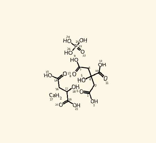 O=C(O)CC(O)(CC(=O)O)C(=O)O.O=C(O)CC(O)C(=O)O.O=P(O)(O)O.[CaH2]